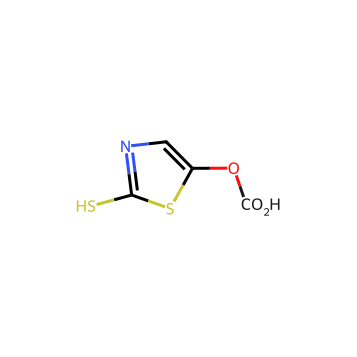 O=C(O)Oc1cnc(S)s1